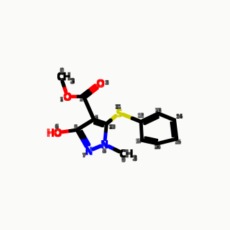 COC(=O)c1c(O)nn(C)c1Sc1ccccc1